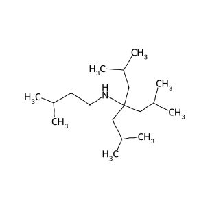 CC(C)CCNC(CC(C)C)(CC(C)C)CC(C)C